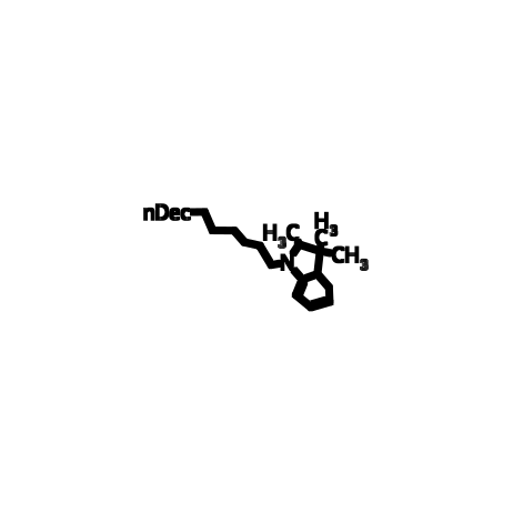 CCCCCCCCCCCCCCCCN1C2=CC=CCC2C(C)(C)C1C